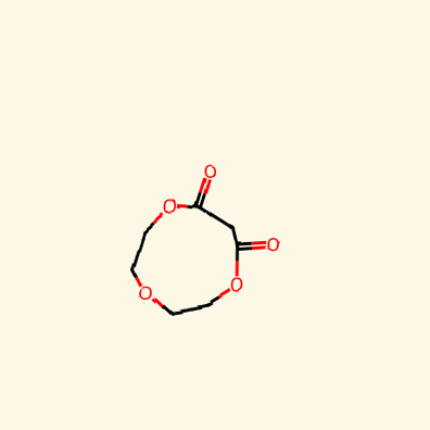 O=C1CC(=O)OCCOCCO1